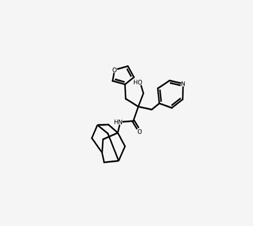 O=C(NC12CC3CC(CC(C3)C1)C2)C(CO)(Cc1ccncc1)Cc1ccoc1